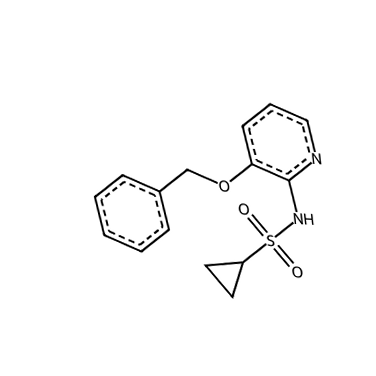 O=S(=O)(Nc1ncccc1OCc1ccccc1)C1CC1